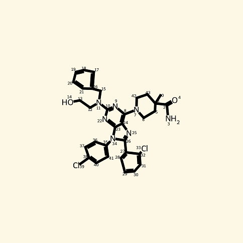 CC1(C(N)=O)CCN(c2nc(N(CCO)Cc3ccccc3)nc3c2nc(-c2ccccc2Cl)n3-c2ccc(Cl)cc2)CC1